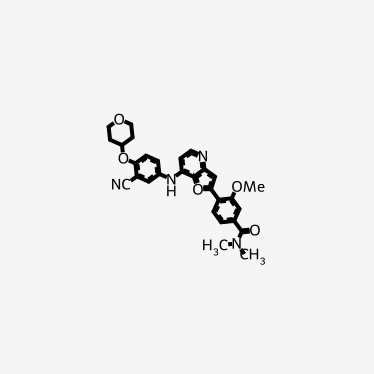 COc1cc(C(=O)N(C)C)ccc1-c1cc2nccc(Nc3ccc(OC4CCOCC4)c(C#N)c3)c2o1